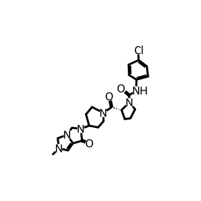 CN1C=C2C(=O)N(C3CCN(C(=O)[C@H]4CCCN4C(=O)Nc4ccc(Cl)cc4)CC3)CN2C1